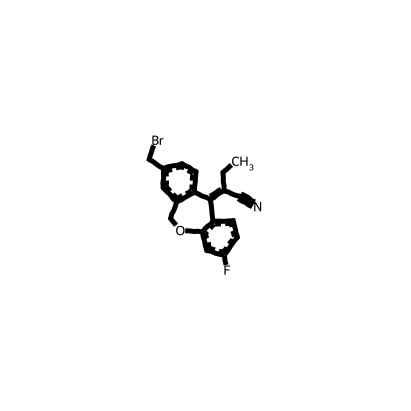 CC/C(C#N)=C1\c2ccc(CBr)cc2COc2cc(F)ccc21